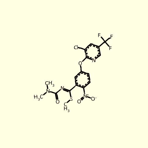 CSC(=NC(=O)N(C)C)c1cc(Oc2ncc(C(F)(F)F)cc2Cl)ccc1[N+](=O)[O-]